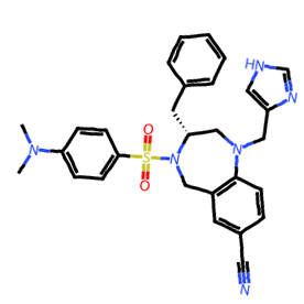 CN(C)c1ccc(S(=O)(=O)N2Cc3cc(C#N)ccc3N(Cc3c[nH]cn3)C[C@H]2Cc2ccccc2)cc1